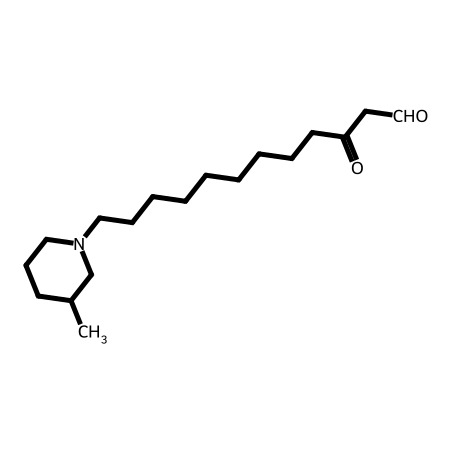 CC1CCCN(CCCCCCCCCC(=O)CC=O)C1